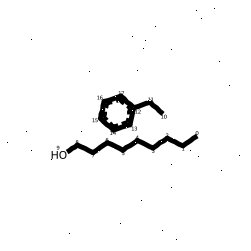 CCCCCCCCCO.CCc1ccccc1